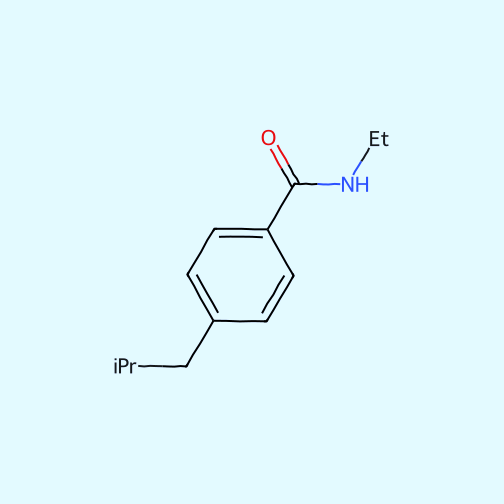 CCNC(=O)c1ccc(CC(C)C)cc1